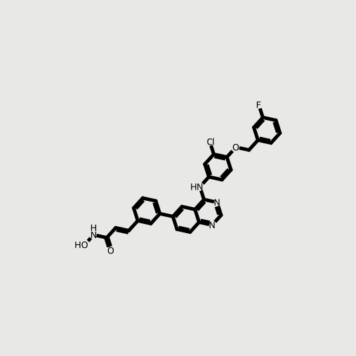 O=C(C=Cc1cccc(-c2ccc3ncnc(Nc4ccc(OCc5cccc(F)c5)c(Cl)c4)c3c2)c1)NO